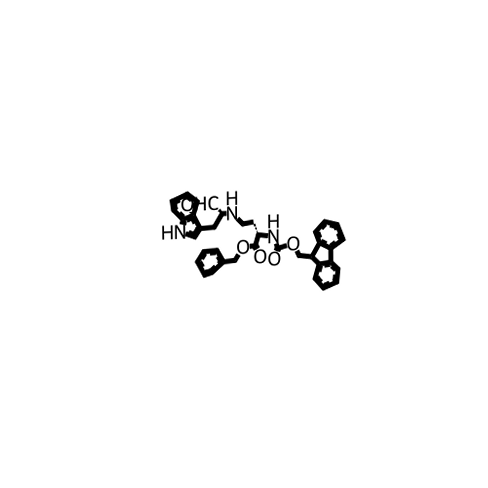 O=C[C@H](Cc1c[nH]c2ccccc12)NCC[C@H](NC(=O)OCC1c2ccccc2-c2ccccc21)C(=O)OCc1ccccc1